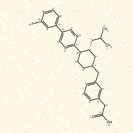 CC(C)C[C@@H]1CN(Cc2cccc(CC(=O)O)c2)CCN1c1ncc(-c2cccc(F)c2)cn1